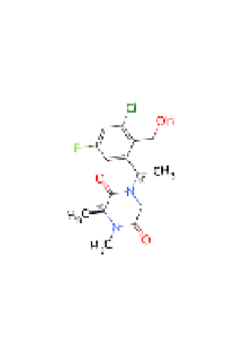 C[C@H]1C(=O)N([C@@H](C)c2cc(F)cc(Cl)c2CO)CC(=O)N1C